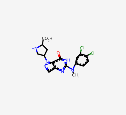 CN(c1ccc(Cl)c(Cl)c1)c1nc2cnn(C3CNC(C(=O)O)C3)c2c(=O)[nH]1